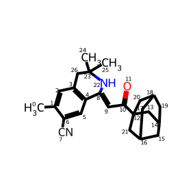 Cc1cc2c(cc1C#N)C(=CC(=O)C13CC4CC(CC(C4)C1)C3)NC(C)(C)C2